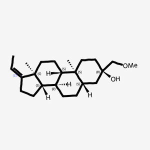 C/C=C1/CC[C@H]2[C@@H]3CC[C@H]4C[C@@](O)(COC)CC[C@]4(C)[C@H]3CC[C@]12C